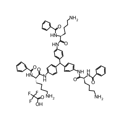 NCCCC[C@H](NC(=O)c1ccccc1)C(=O)Nc1ccc(C(c2ccc(NC(=O)[C@H](CCCCN)NC(=O)c3ccccc3)cc2)c2ccc(NC(=O)[C@H](CCCCN)NC(=O)c3ccccc3)cc2)cc1.O=C(O)C(F)(F)F